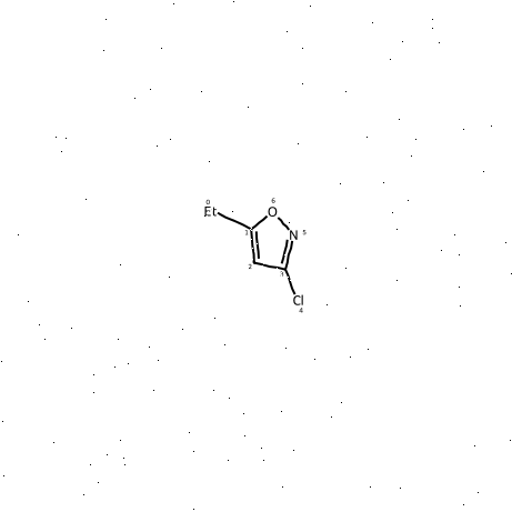 CCc1cc(Cl)no1